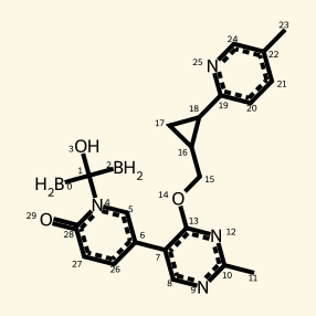 BC(B)(O)n1cc(-c2cnc(C)nc2OCC2CC2c2ccc(C)cn2)ccc1=O